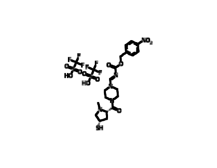 CN1C[C@@H](S)C[C@H]1C(=O)N1CCN(C=NC(=O)OCc2ccc([N+](=O)[O-])cc2)CC1.O=S(=O)(O)C(F)(F)F.O=S(=O)(O)C(F)(F)F